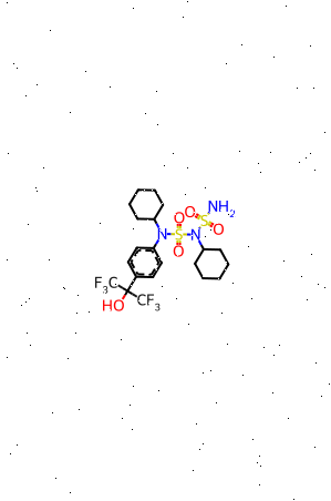 NS(=O)(=O)N(C1CCCCC1)S(=O)(=O)N(c1ccc(C(O)(C(F)(F)F)C(F)(F)F)cc1)C1CCCCC1